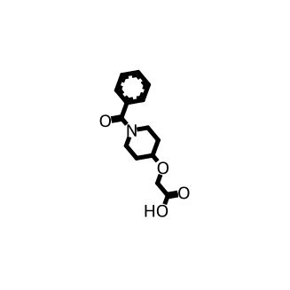 O=C(O)COC1CCN(C(=O)c2ccccc2)CC1